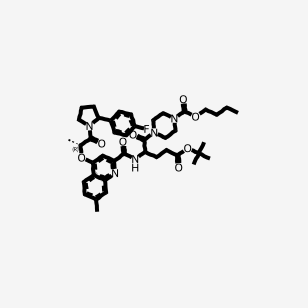 CCCCOC(=O)N1CCN(C(=O)C(CCC(=O)OC(C)(C)C)NC(=O)c2cc(O[C@H](C)C(=O)N3CCCC3c3ccc(F)cc3)c3ccc(C)cc3n2)CC1